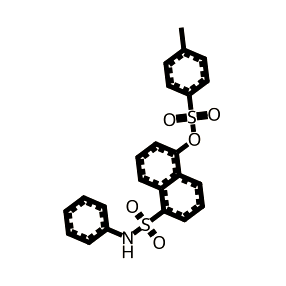 Cc1ccc(S(=O)(=O)Oc2cccc3c(S(=O)(=O)Nc4ccccc4)cccc23)cc1